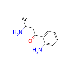 CC(=O)C(N)CC(=O)c1ccccc1N